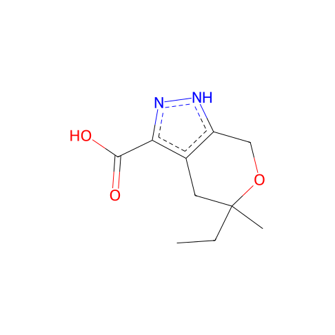 CCC1(C)Cc2c(C(=O)O)n[nH]c2CO1